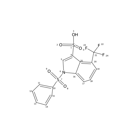 O=S(=O)(O)c1cn(S(=O)(=O)c2ccccc2)c2cccc(C(F)(F)F)c12